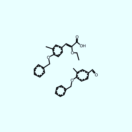 CCOC(=Cc1ccc(OCc2ccccc2)c(C)c1)C(=O)O.Cc1cc(C=O)ccc1OCc1ccccc1